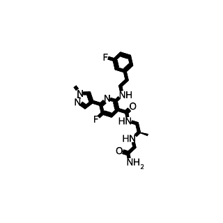 C[C@H](CNC(=O)c1cc(F)c(-c2cnn(C)c2)nc1NCCc1cccc(F)c1)NCC(N)=O